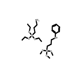 CCO[Si](CCCN)(OCC)OCC.CO[Si](CCCNc1ccccc1)(OC)OC